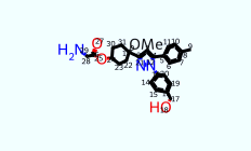 COC1(c2cc(-c3ccc(C)cc3)n(-c3ccc(CO)cc3)n2)CCC(OC(=O)CN)CC1